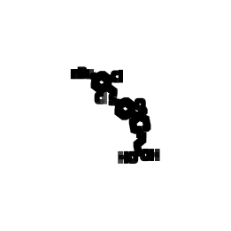 CCCCc1cc(Cl)c(CSc2ccc3c(c2)OCC32CCN(CCC(O)O)CC2)c(Cl)c1